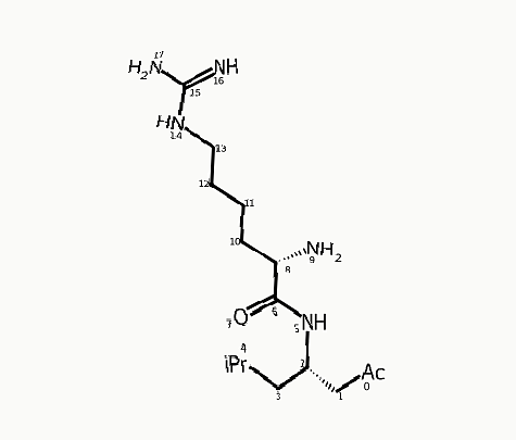 CC(=O)C[C@H](CC(C)C)NC(=O)[C@@H](N)CCCCNC(=N)N